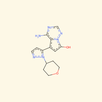 Nc1ncnn2c(O)cc(-c3ccnn3C3CCOCC3)c12